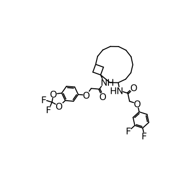 O=C(COc1ccc(F)c(F)c1)NC1CCCCCCCCCC2CC(NC(=O)COc3ccc4c(c3)OC(F)(F)O4)(C2)C1